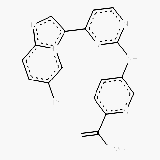 COC(=O)c1ccc(Nc2nccc(-c3cnc4ccc(Br)cn34)n2)cn1